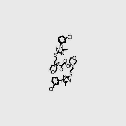 Cc1nc(SCC[N+]2(OC(=O)C(=O)O[N+]3(CCSc4nc(C)n(-c5cccc(Cl)c5)n4)CCOCC3)CCOCC2)nn1-c1cccc(Cl)c1